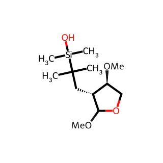 COC1OC[C@H](OC)[C@H]1CC(C)(C)[Si](C)(C)O